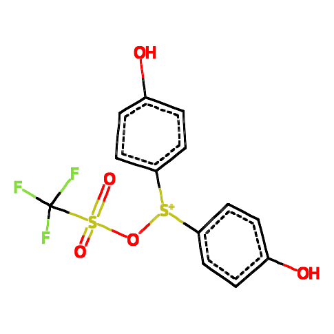 O=S(=O)(O[S+](c1ccc(O)cc1)c1ccc(O)cc1)C(F)(F)F